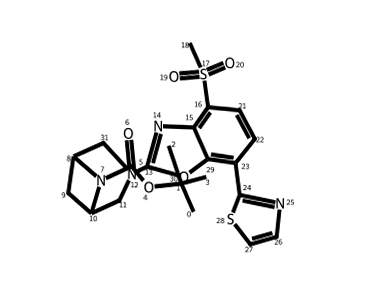 CC(C)(C)OC(=O)N1C2CC1CN(c1nc3c(S(C)(=O)=O)ccc(-c4nccs4)c3o1)C2